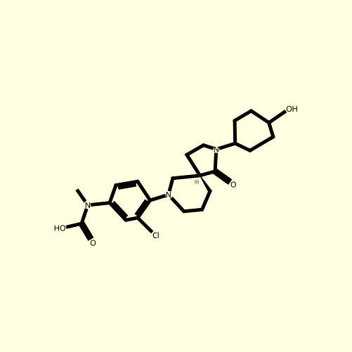 CN(C(=O)O)c1ccc(N2CCC[C@]3(CCN(C4CCC(O)CC4)C3=O)C2)c(Cl)c1